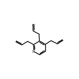 C=CCc1ccnc(CC=C)c1CC=C